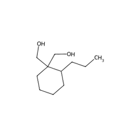 CCCC1CCCCC1(CO)CO